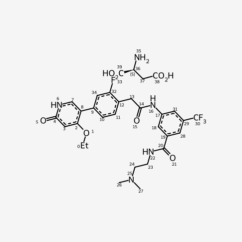 CCOc1cc(=O)[nH]cc1-c1ccc(CC(=O)Nc2cc(C(=O)NCCN(C)C)cc(C(F)(F)F)c2)c(F)c1.N[C@@H](CC(=O)O)C(=O)O